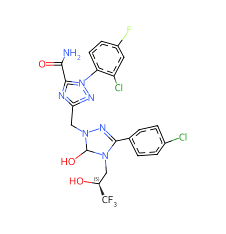 NC(=O)c1nc(CN2N=C(c3ccc(Cl)cc3)N(C[C@H](O)C(F)(F)F)C2O)nn1-c1ccc(F)cc1Cl